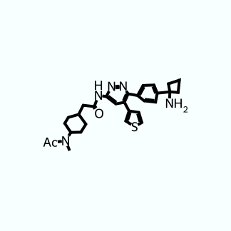 CC(=O)N(C)C1CCC(CC(=O)Nc2cc(-c3ccsc3)c(-c3ccc(C4(N)CCC4)cc3)nn2)CC1